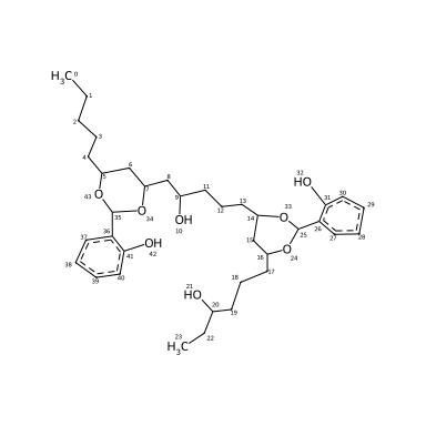 CCCCCC1CC(CC(O)CCCC2CC(CCCC(O)CC)OC(c3ccccc3O)O2)OC(c2ccccc2O)O1